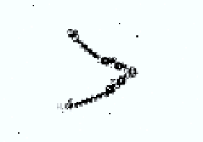 C=CC(=O)OCCCCCCCCCCCOc1ccc(C(=O)Oc2ccc(CO[C@@H]3OCCO[C@H]3OCc3ccc(OC(=O)c4ccc(OCCCCCCCCCCCOC(=O)C=C)cc4)cc3)cc2)cc1